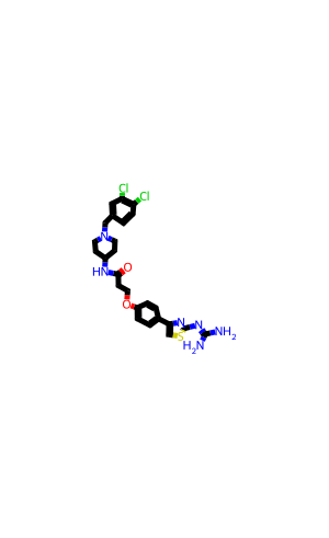 NC(N)=Nc1nc(-c2ccc(OCCC(=O)NC3CCN(Cc4ccc(Cl)c(Cl)c4)CC3)cc2)cs1